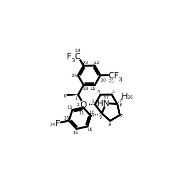 C[C@H](O[C@@H]1CC[C@H]2CC[C@]1(c1ccc(F)cc1)N2)c1cc(C(F)(F)F)cc(C(F)(F)F)c1